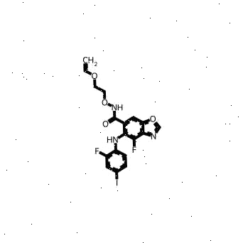 C=COCCONC(=O)c1cc2ocnc2c(F)c1Nc1ccc(I)cc1F